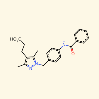 Cc1nn(Cc2ccc(NC(=O)c3ccccc3)cc2)c(C)c1CCC(=O)O